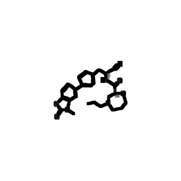 CCCN1CCCO[C@H](C(=O)N[C@H](C#N)Cc2ccc(-c3ccc4oc(=O)n(C)c4c3)cc2)C1